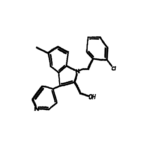 Cc1ccc2c(c1)c(-c1ccncc1)c(CO)n2Cc1ccccc1Cl